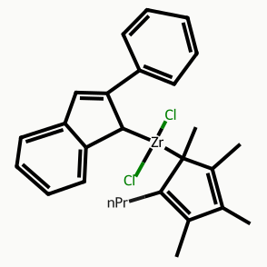 CCCC1=C(C)C(C)=C(C)[C]1(C)[Zr]([Cl])([Cl])[CH]1C(c2ccccc2)=Cc2ccccc21